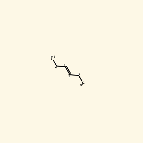 FC[C]=CCF